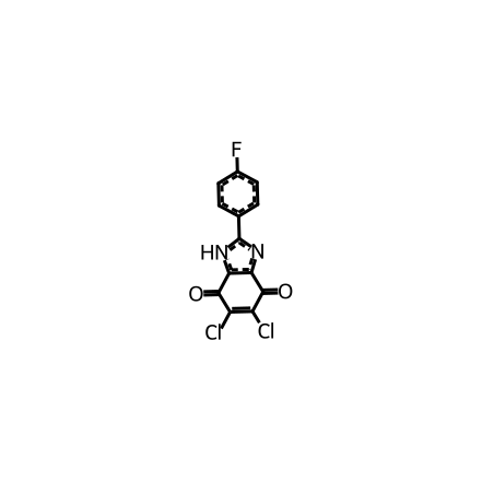 O=C1C(Cl)=C(Cl)C(=O)c2[nH]c(-c3ccc(F)cc3)nc21